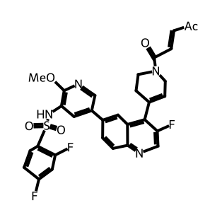 COc1ncc(-c2ccc3ncc(F)c(C4=CCN(C(=O)C=CC(C)=O)CC4)c3c2)cc1NS(=O)(=O)c1ccc(F)cc1F